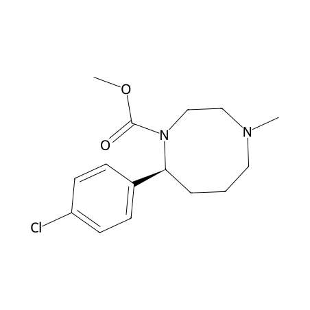 COC(=O)N1CCN(C)CCC[C@H]1c1ccc(Cl)cc1